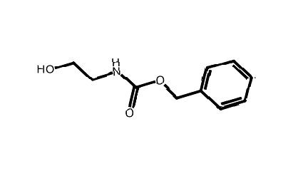 O=C(NCCO)OCc1cc[c]cc1